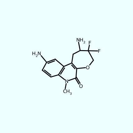 Cn1c(=O)c2c(c3cc(N)ccc31)CC(N)C(F)(F)CO2